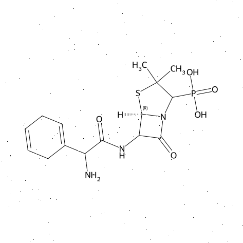 CC1(C)S[C@@H]2C(NC(=O)C(N)C3=CCC=CC3)C(=O)N2C1P(=O)(O)O